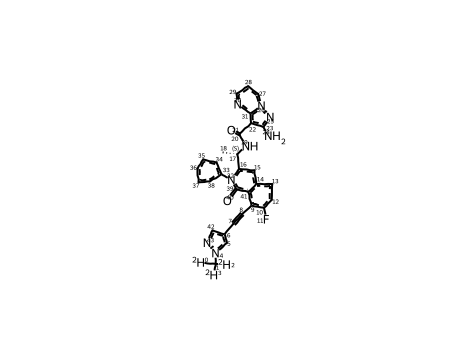 [2H]C([2H])([2H])n1cc(C#Cc2c(F)ccc3cc([C@H](C)NC(=O)c4c(N)nn5cccnc45)n(-c4ccccc4)c(=O)c23)cn1